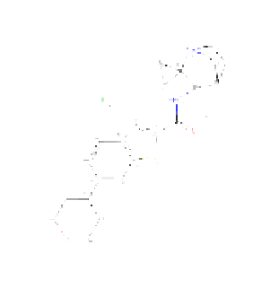 Cl.O=C(N[C@@H]1C2CCN(CC2)C12CC2)c1cc2ccc(C3CCOCC3)cc2s1